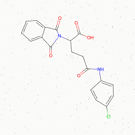 O=C(CCC(C(=O)O)N1C(=O)c2ccccc2C1=O)Nc1ccc(Cl)cc1